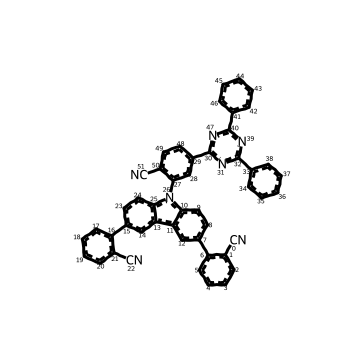 N#Cc1ccccc1-c1ccc2c(c1)c1cc(-c3ccccc3C#N)ccc1n2-c1cc(-c2nc(-c3ccccc3)nc(-c3ccccc3)n2)ccc1C#N